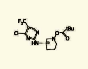 CC(C)(C)C(=O)ON1CCC[C@H](Nc2ncc(C(F)(F)F)c(Cl)n2)C1